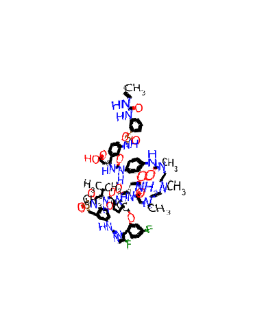 CCCNC(=O)Nc1cccc(S(=O)(=O)Nc2cccc([C@@H](CC(=O)O)NC(=O)Nc3ccc(NC(=O)N(C)CCN(C)CCN(C)CC(=O)N[C@@H](CC(N)=O)C(=O)N4CCC[C@H]4C(=O)N[C@H](C(=O)N=[S@@](C)(=O)Cc4cc5cc(c4)OCCCCOc4cc(F)ccc4-c4nc(ncc4F)N5)C(C)C)cc3)c2)c1